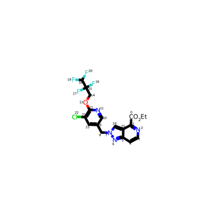 CCOC(=O)c1nccc2nn(Cc3cnc(OCC(F)(F)C(F)F)c(Cl)c3)cc12